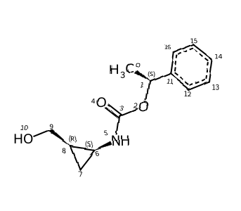 C[C@H](OC(=O)N[C@H]1C[C@H]1CO)c1ccccc1